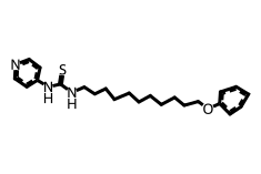 S=C(NCCCCCCCCCCCOc1ccccc1)Nc1ccncc1